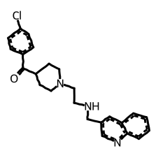 O=C(c1ccc(Cl)cc1)C1CCN(CCNCc2cnc3ccccc3c2)CC1